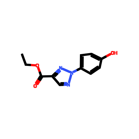 CCOC(=O)c1cnn(-c2ccc(O)cc2)n1